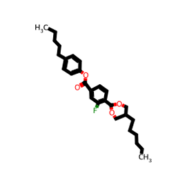 CCCCCCC1COC(c2ccc(C(=O)Oc3ccc(CCCCC)cc3)cc2F)OC1